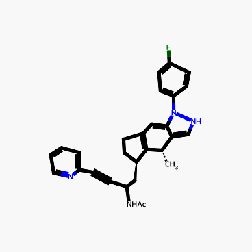 CC(=O)NC(C#Cc1ccccn1)C[C@H]1CCC2=C1[C@@H](C)C1=CNN(c3ccc(F)cc3)C1=C2